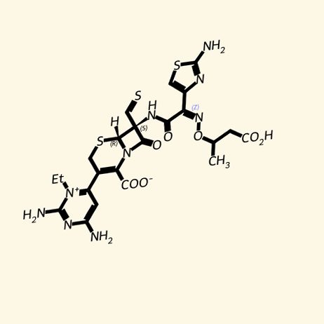 CC[n+]1c(C2=C(C(=O)[O-])N3C(=O)[C@](C=S)(NC(=O)/C(=N\OC(C)CC(=O)O)c4csc(N)n4)[C@H]3SC2)cc(N)nc1N